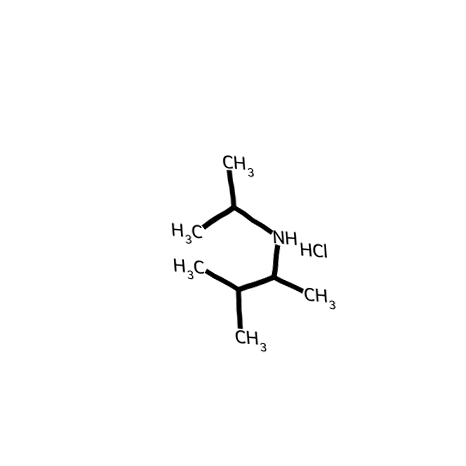 CC(C)NC(C)C(C)C.Cl